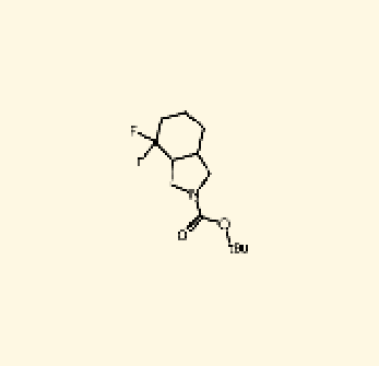 CC(C)(C)OC(=O)N1CC2CCCC(F)(F)C2C1